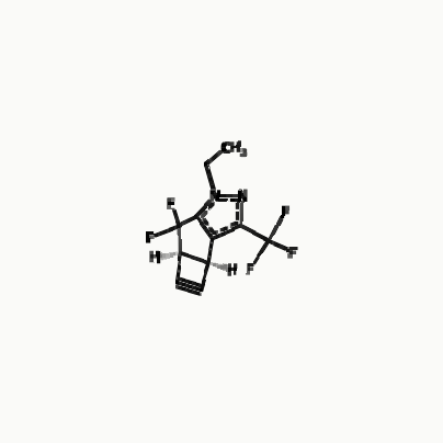 CCn1nc(C(F)(F)F)c2c1C(F)(F)[C@@H]1C#C[C@H]21